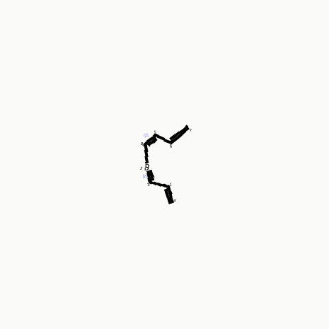 C=C/C=B\C=C/C=C